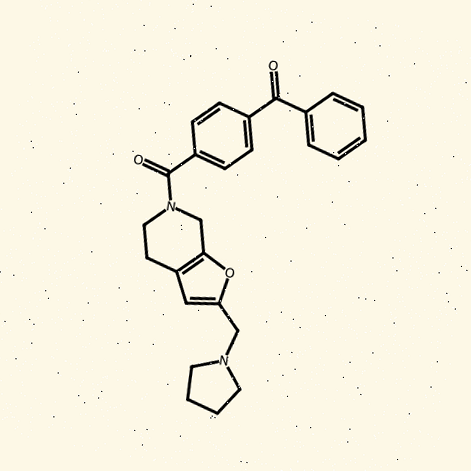 O=C(c1ccccc1)c1ccc(C(=O)N2CCc3cc(CN4CCCC4)oc3C2)cc1